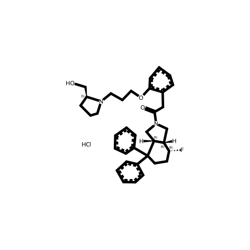 Cl.O=C(Cc1ccccc1OCCCN1CCC[C@H]1CO)N1C[C@@H]2[C@H](F)CCC(c3ccccc3)(c3ccccc3)[C@@H]2C1